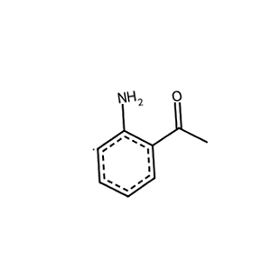 CC(=O)c1ccc[c]c1N